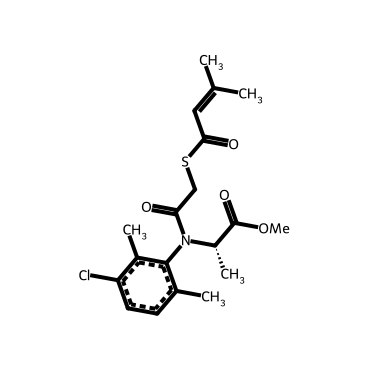 COC(=O)[C@H](C)N(C(=O)CSC(=O)C=C(C)C)c1c(C)ccc(Cl)c1C